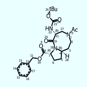 CC(=O)N1CC[C@H]2CC[C@H](C(=O)OCc3ccccc3)N2C(=O)[C@H](NC(=O)OC(C)(C)C)C1